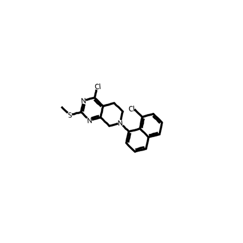 CSc1nc(Cl)c2c(n1)CN(c1cccc3cccc(Cl)c13)CC2